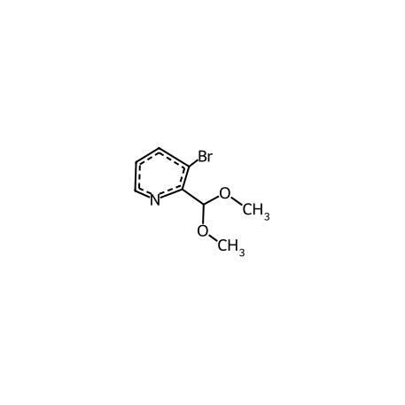 COC(OC)c1ncccc1Br